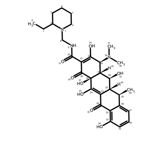 CCC1CCCCN1CNC(=O)C1=C(O)[C@@H](N(C)C)[C@@H]2[C@@H](O)[C@H]3C(=C(O)[C@]2(O)C1=O)C(=O)c1c(O)cccc1[C@@H]3C